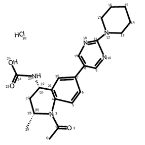 CC(=O)N1c2ccc(-c3cnc(N4CCCCC4)nc3)cc2[C@@H](NC(=O)O)C[C@H]1C.Cl